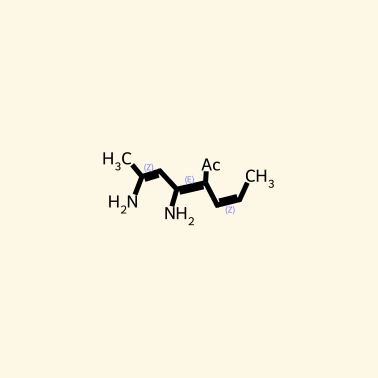 C\C=C/C(C(C)=O)=C(N)/C=C(/C)N